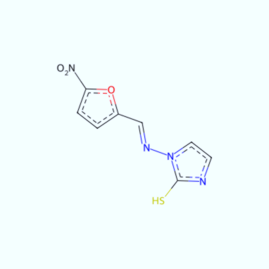 O=[N+]([O-])c1ccc(/C=N/n2ccnc2S)o1